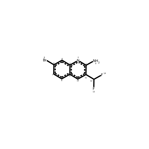 Nc1nc2cc(Br)ccc2cc1C(F)F